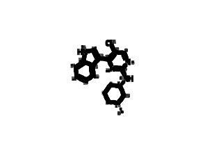 C[C@@H]1CCC[C@@H](Nc2ncc(Cl)c(-c3c[nH]c4ccccc34)n2)C1